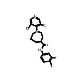 O=C(Nc1ccc(F)c(F)c1)C1CCCN(c2c(Cl)cncc2Cl)CC1